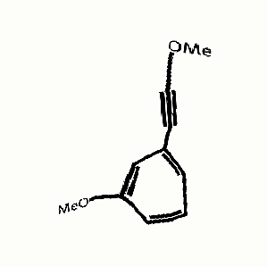 COC#Cc1cccc(OC)c1